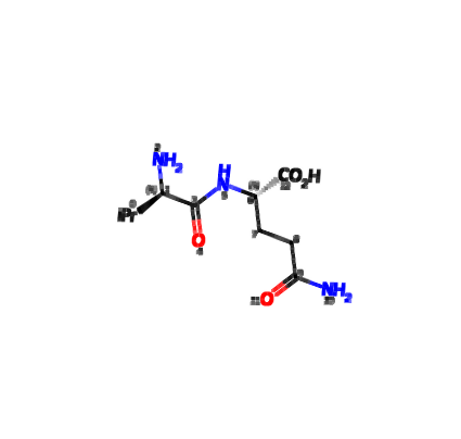 CC(C)[C@@H](N)C(=O)N[C@@H](CCC(N)=O)C(=O)O